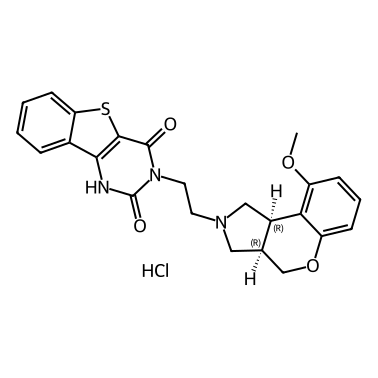 COc1cccc2c1[C@@H]1CN(CCn3c(=O)[nH]c4c(sc5ccccc54)c3=O)C[C@@H]1CO2.Cl